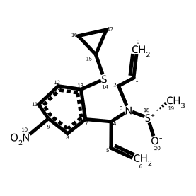 C=CCN(C(C=C)c1cc([N+](=O)[O-])ccc1SC1CC1)[S@+](C)[O-]